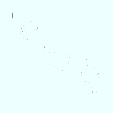 OSc1ccc(CNc2ncnc(N3CCCC3c3ccc(C(F)(F)F)cc3)c2F)cc1